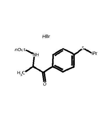 Br.CCCCCCCCNC(C)C(=O)c1ccc(SC(C)C)cc1